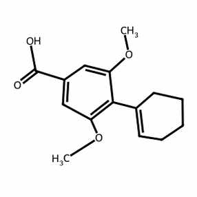 COc1cc(C(=O)O)cc(OC)c1C1=CCCCC1